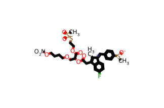 CC1=C(CC(=O)OC(COCCCCO[N+](=O)[O-])C(=O)OCCSS(C)(=O)=O)c2cc(F)ccc2/C1=C\c1ccc([S+](C)[O-])cc1